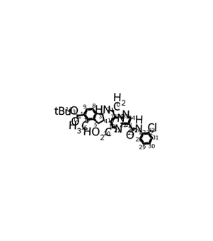 C=C(N[C@H]1CCc2c1ccc(C(=O)OC(C)(C)C)c2C)c1cc(C(=O)O)nc2c(C(=O)Nc3ccccc3Cl)cnn12